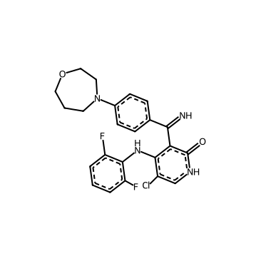 N=C(c1ccc(N2CCCOCC2)cc1)c1c(Nc2c(F)cccc2F)c(Cl)c[nH]c1=O